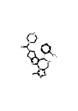 Cc1nnc2n1-c1sc3c(c1[C@H](c1ccccc1C(F)(F)F)NC2)C[C@H](C(=O)N1CCOCC1)C3